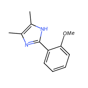 COc1ccccc1-c1nc(C)c(C)[nH]1